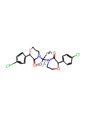 CCCC(C(=O)O)(N1CCOC(c2ccc(Cl)cc2)C1=O)N1CCOC(c2ccc(Cl)cc2)C1=O